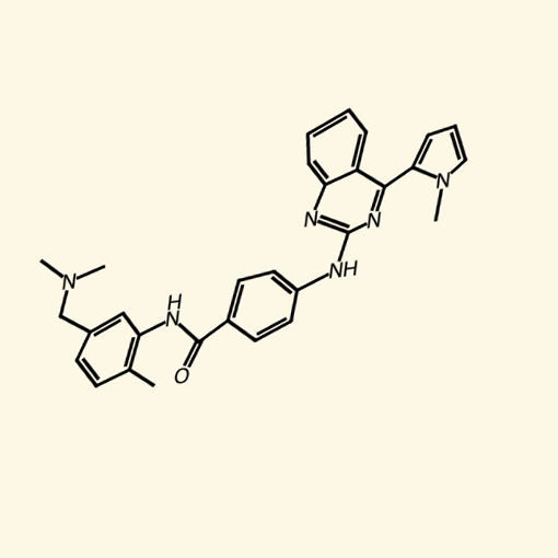 Cc1ccc(CN(C)C)cc1NC(=O)c1ccc(Nc2nc(-c3cccn3C)c3ccccc3n2)cc1